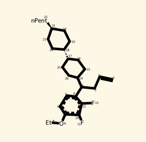 C=CCC(c1ccc(OCC)c(F)c1F)C1CCC([C@H]2CC[C@H](CCCCC)CC2)CC1